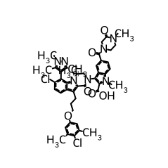 Cc1cc(OCCCc2c3n(c4c(-c5c(C)nn(C)c5C)c(Cl)ccc24)[C@H](C)CN(c2c(C(=O)O)n(C)c4ccc(C(=O)N5CCN(C)C(=O)C5)cc24)C3=O)cc(C)c1Cl